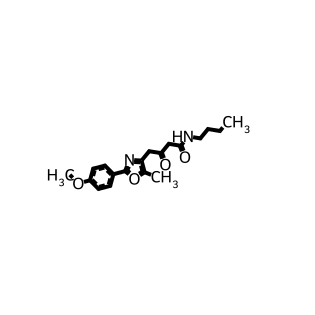 CCCCNC(=O)CC(=O)Cc1nc(-c2ccc(OC)cc2)oc1C